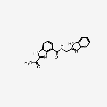 NC(=O)c1nc2c(C(=O)NCc3nc4ccccc4[nH]3)cccc2[nH]1